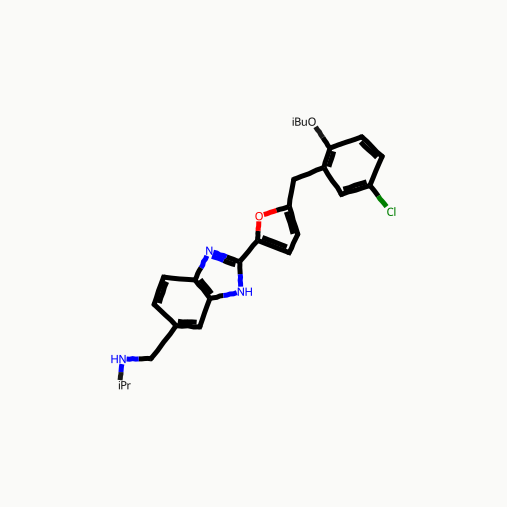 CC(C)COc1ccc(Cl)cc1Cc1ccc(-c2nc3ccc(CNC(C)C)cc3[nH]2)o1